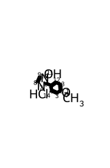 COc1ccc(-c2nccn2O)cc1.Cl